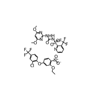 CCOc1cc(Oc2ccc(C(F)(F)F)cc2Cl)ccc1[N+](=O)[O-].COc1cc(OC)nc(NC(=O)NS(=O)(=O)c2ncccc2C(F)(F)F)n1